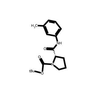 Cc1cccc(NC(=O)[C@@H]2CCCN2C(=O)OC(C)(C)C)c1